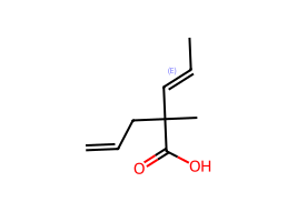 C=CCC(C)(/C=C/C)C(=O)O